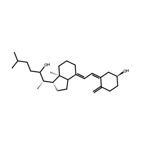 C=C1CC[C@H](O)C/C1=C/C=C1CCC[C@@]2(C)C1CC[C@@H]2[C@H](C)C(O)CCC(C)C